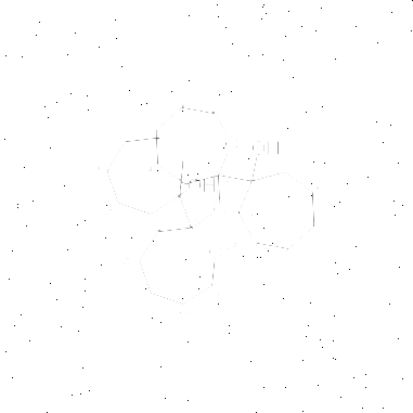 OC1(C2(OC3(C4(O)CCCCCC4)CCCCCO3)CCCCCO2)CCCCCC1